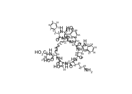 CCC(=O)NC(Cc1ccccc1)C(=O)NC1CSSCC(C(=O)NC(C(=O)O)C(C)O)NC(=O)C(C(C)O)NC(=O)C(CCCCN)NC(=O)C(Cc2c[nH]c3ccccc23)NC(=O)C(Cc2ccc(O)cc2)NC1=O